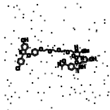 Cc1ncoc1-c1ccc([C@H](C)NC(=O)[C@@H]2C[C@@H](O)CN2C(=O)C(NC(=O)COCCOCCOCCOc2ccc(Oc3c(-c4ccc(Cl)cc4)sc4cc(O)ccc34)cc2)C(C)(C)C)cc1